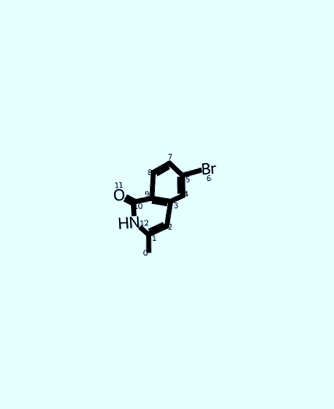 Cc1cc2cc(Br)ccc2c(=O)[nH]1